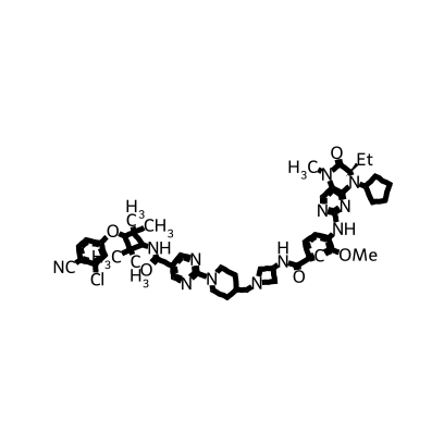 CC[C@@H]1C(=O)N(C)c2cnc(Nc3ccc(C(=O)NC4CN(CC5CCN(c6ncc(C(=O)NC7C(C)(C)C(Oc8ccc(C#N)c(Cl)c8)C7(C)C)cn6)CC5)C4)cc3OC)nc2N1C1CCCC1